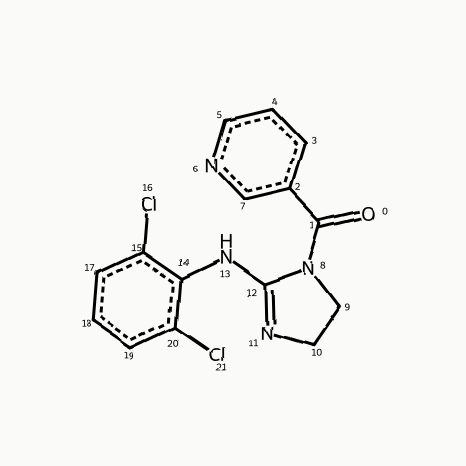 O=C(c1cccnc1)N1CCN=C1Nc1c(Cl)cccc1Cl